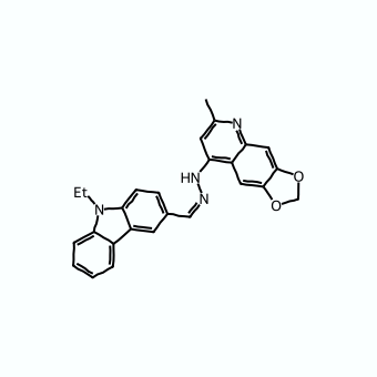 CCn1c2ccccc2c2cc(/C=N\Nc3cc(C)nc4cc5c(cc34)OCO5)ccc21